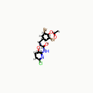 CC(=O)Oc1c(Br)cc(/C=C2/Oc3ccc(Cl)nc3NC2=O)cc1Br